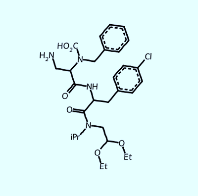 CCOC(CN(C(=O)C(Cc1ccc(Cl)cc1)NC(=O)C(CN)N(Cc1ccccc1)C(=O)O)C(C)C)OCC